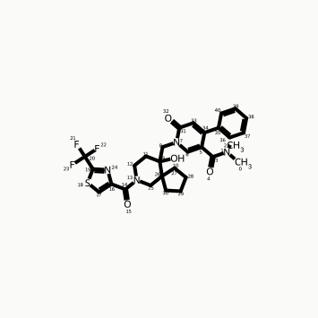 CN(C)C(=O)c1cn(CC2(O)CCN(C(=O)c3csc(C(F)(F)F)n3)CC23CCCC3)c(=O)cc1-c1ccccc1